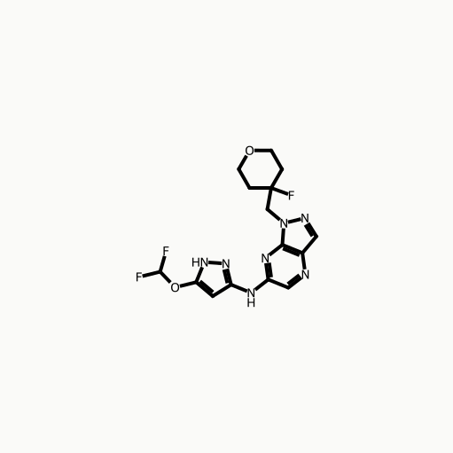 FC(F)Oc1cc(Nc2cnc3cnn(CC4(F)CCOCC4)c3n2)n[nH]1